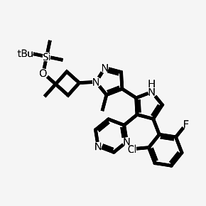 Cc1c(-c2[nH]cc(-c3c(F)cccc3Cl)c2-c2ccncn2)cnn1C1CC(C)(O[Si](C)(C)C(C)(C)C)C1